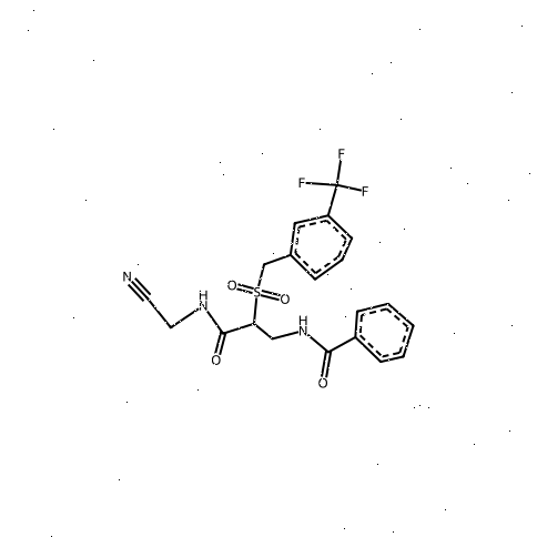 N#CCNC(=O)C(CNC(=O)c1ccccc1)S(=O)(=O)Cc1cccc(C(F)(F)F)c1